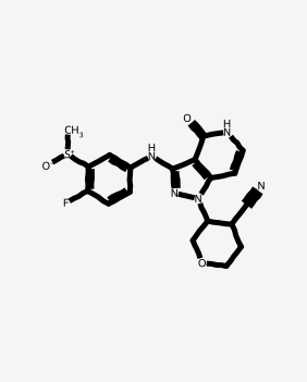 C[S+]([O-])c1cc(Nc2nn(C3COCCC3C#N)c3cc[nH]c(=O)c23)ccc1F